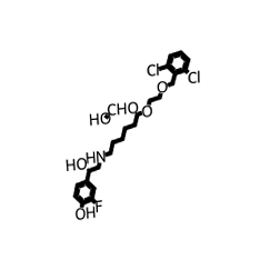 O=CO.Oc1ccc([C@@H](O)CNCCCCCCOCCOCc2c(Cl)cccc2Cl)cc1F